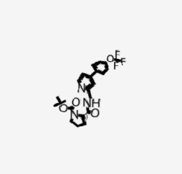 CC(C)(C)OC(=O)N1CCC[C@H]1C(=O)NCc1cc(-c2ccc(OC(F)(F)F)cc2)ccn1